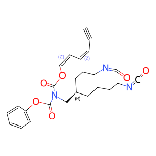 C#C/C=C\C=C/OC(=O)N(C[C@H](CCCCN=C=O)CCCN=C=O)C(=O)Oc1ccccc1